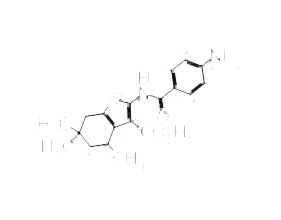 CC1CC(C)(C)Cc2sc(NC(=O)c3ccc(N)cc3)c(C(=O)O)c21